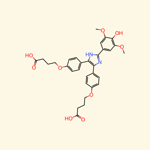 COc1cc(-c2nc(-c3ccc(OCCCC(=O)O)cc3)c(-c3ccc(OCCCC(=O)O)cc3)[nH]2)cc(OC)c1O